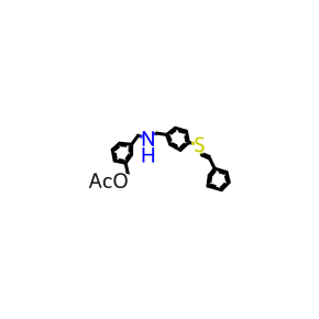 CC(=O)OCc1cccc(CNCc2ccc(SC=Cc3ccccc3)cc2)c1